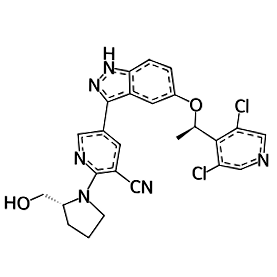 C[C@@H](Oc1ccc2[nH]nc(-c3cnc(N4CCC[C@@H]4CO)c(C#N)c3)c2c1)c1c(Cl)cncc1Cl